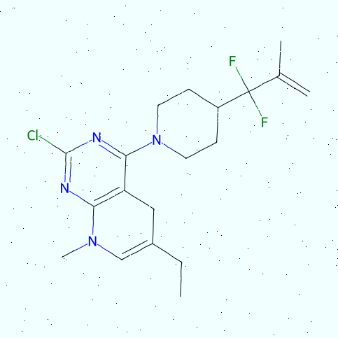 C=C(C)C(F)(F)C1CCN(c2nc(Cl)nc3c2CC(CC)=CN3C)CC1